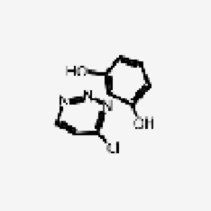 Clc1ccnnn1.Oc1cccc(O)c1